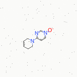 [O-][n+]1ccc(N2CC=CCC2)nc1